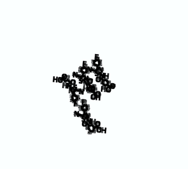 C[C@@H](CC(=O)O)C(=O)Nc1nc(-c2ccc(F)cc2)c(C#N)s1.N#Cc1sc(NC(=O)C23CCC(C(=O)O)(CC2)CC3)nc1-c1ccc(F)cc1.N#Cc1sc(NC(=O)C2CCC(C(=O)O)CC2)nc1-c1ccc(F)cc1.N#Cc1sc(NC(=O)C2CCCC(C(=O)O)C2)nc1-c1ccc(F)cc1